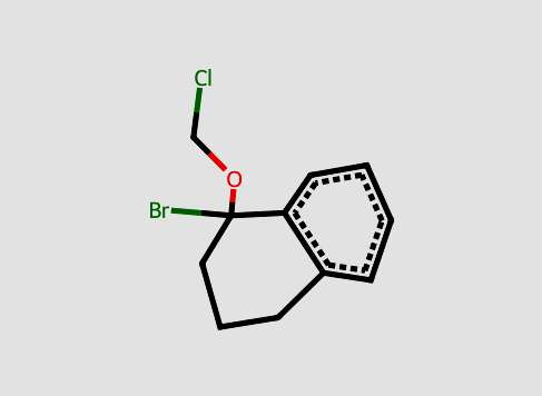 ClCOC1(Br)CCCc2ccccc21